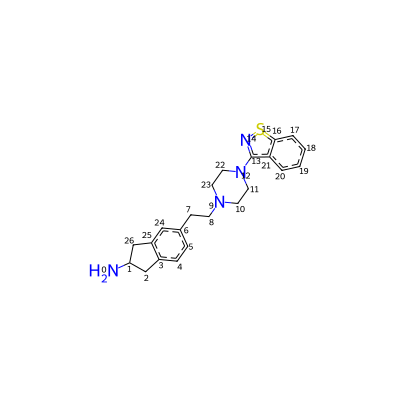 NC1Cc2ccc(CCN3CCN(c4nsc5ccccc45)CC3)cc2C1